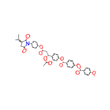 COc1ccc(C(=O)Oc2ccc(C(=O)Oc3ccc(C(CC(=O)Oc4ccc(N5C(=O)CC(=C(C)C)C5=O)cc4)OC(C)=O)cc3)cc2)cc1